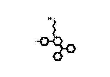 OCCCCN1CCC(=C(c2ccccc2)c2ccccc2)CC1c1ccc(F)cc1